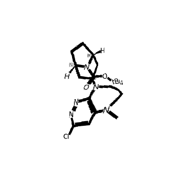 CN1CCN([C@@H]2C[C@H]3CC[C@@H](C2)N3C(=O)OC(C)(C)C)c2nnc(Cl)cc21